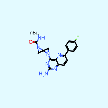 CCCCNC(=O)N1CC12CN2c1nc(N)nc2ccc(-c3ccc(F)cc3)nc12